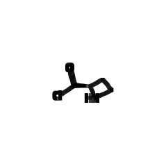 O=C(Cl)[C@H]1CCN1